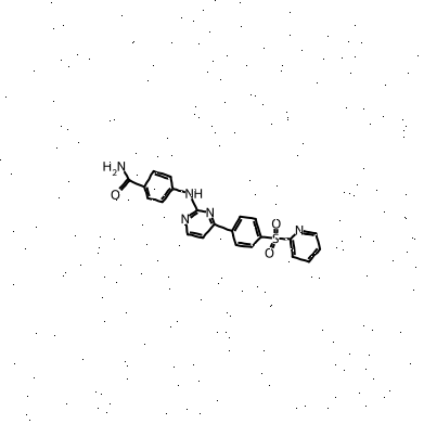 NC(=O)c1ccc(Nc2nccc(-c3ccc(S(=O)(=O)c4ccccn4)cc3)n2)cc1